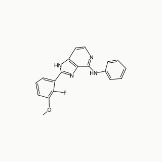 COc1cccc(-c2nc3c(Nc4ccccc4)nccc3[nH]2)c1F